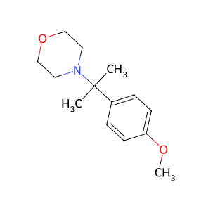 COc1ccc(C(C)(C)N2CCOCC2)cc1